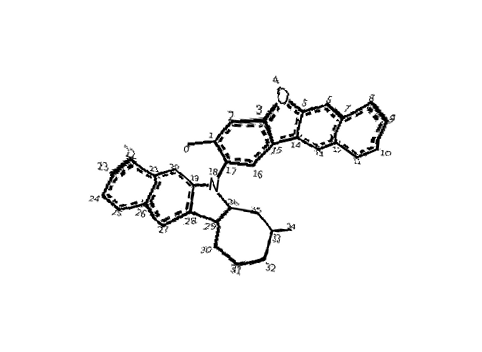 Cc1cc2oc3cc4ccccc4cc3c2cc1N1c2cc3ccccc3cc2C2CCCC(C)CC21